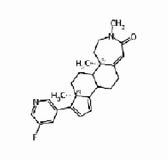 CN1CC[C@@]2(C)C(=CC1=O)CCC1C3=CC=C(c4cncc(F)c4)[C@@]3(C)CCC12